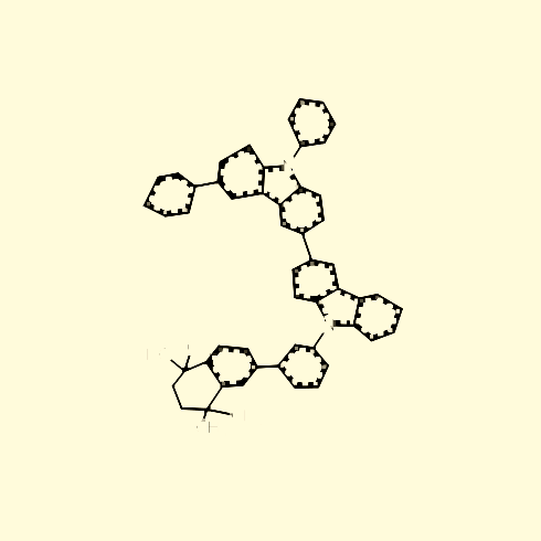 CC1(C)CCC(C)(C)c2cc(-c3cccc(-n4c5ccccc5c5cc(-c6ccc7c(c6)c6cc(-c8ccccc8)ccc6n7-c6ccccc6)ccc54)c3)ccc21